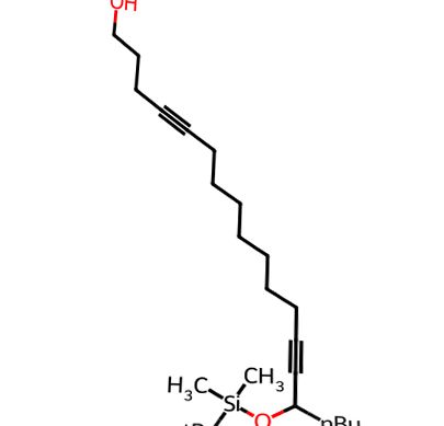 CCCCC(C#CCCCCCCCC#CCCCO)O[Si](C)(C)C(C)(C)C